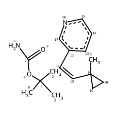 CC(C)(C)OC(N)=O.CC1(/C=C\c2cccnc2)CC1